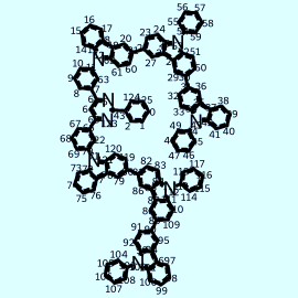 c1ccc(-c2nc(-c3cccc(-n4c5ccccc5c5cc(-c6ccc7c(c6)c6cc(-c8ccc9c(c8)c8ccccc8n9-c8ccccc8)ccc6n7-c6ccccc6)ccc54)c3)cc(-c3cccc(-n4c5ccccc5c5cc(-c6ccc7c(c6)c6cc(-c8ccc9c(c8)c8ccccc8n9-c8ccccc8)ccc6n7-c6ccccc6)ccc54)c3)n2)cc1